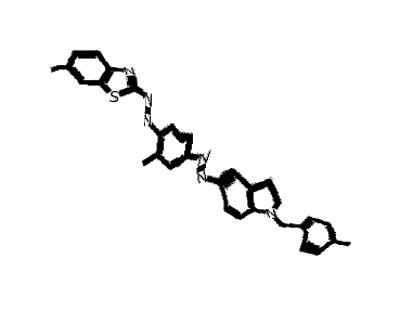 Cc1ccc(CN2CCc3cc(N=Nc4ccc(N=Nc5nc6ccc(C)cc6s5)c(C)c4)ccc32)cc1